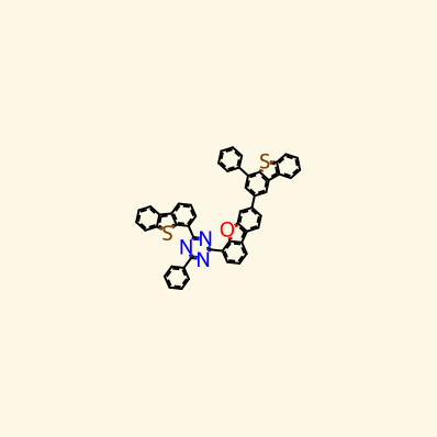 c1ccc(-c2nc(-c3cccc4c3oc3cc(-c5cc(-c6ccccc6)c6sc7ccccc7c6c5)ccc34)nc(-c3cccc4c3sc3ccccc34)n2)cc1